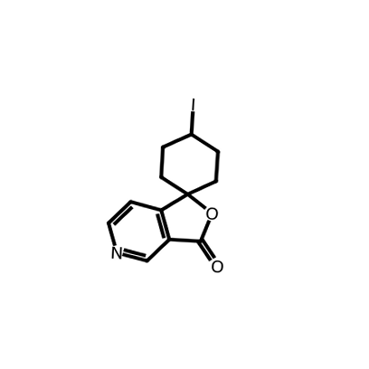 O=C1OC2(CCC(I)CC2)c2ccncc21